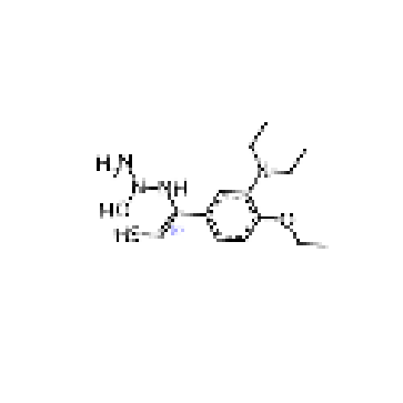 CCOc1ccc(/C(=C/S)NN(N)O)cc1N(CC)CC